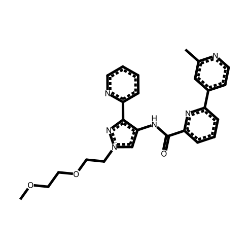 COCCOCCn1cc(NC(=O)c2cccc(-c3ccnc(C)c3)n2)c(-c2ccccn2)n1